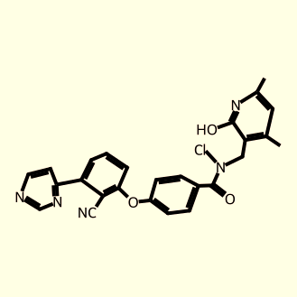 Cc1cc(C)c(CN(Cl)C(=O)c2ccc(Oc3cccc(-c4ccncn4)c3C#N)cc2)c(O)n1